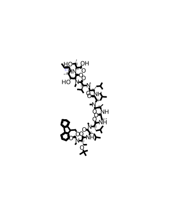 C/C=C/C[C@@H](C)[C@@H](O)[C@@H](C(=O)N[C@H](C(=O)O)[C@@H](C)O)N(C)C(=O)[C@H](C(C)C)N(C)C(=O)[C@H](CC(C)C)NC(=O)[C@H](CC(C)C)N(C)C(=O)[C@@H](C)NC(=O)[C@H](C)NC(=O)[C@H](CC(C)C)N(C)C(=O)[C@H](CC(C)C)NC(=O)[C@H](C(C)OC(C)(C)C)N(C)C(=O)OCC1c2ccccc2-c2ccccc21